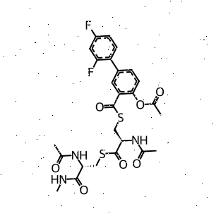 CNC(=O)[C@@H](CSC(=O)[C@@H](CSC(=O)c1cc(-c2ccc(F)cc2F)ccc1OC(C)=O)NC(C)=O)NC(C)=O